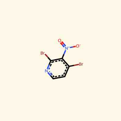 O=[N+]([O-])c1c(Br)ccnc1Br